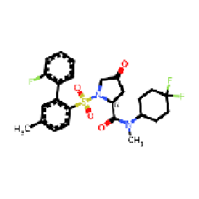 Cc1ccc(S(=O)(=O)N2CC(=O)C[C@H]2C(=O)N(C)C2CCC(F)(F)CC2)c(-c2ccccc2F)c1